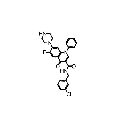 O=C(NCc1cccc(Cl)c1)c1cn(-c2ccccc2)c2cc(N3CCNCC3)c(F)cc2c1=O